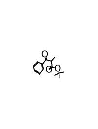 CC(C(=O)OC(C)(C)C)C(=O)c1ccccc1